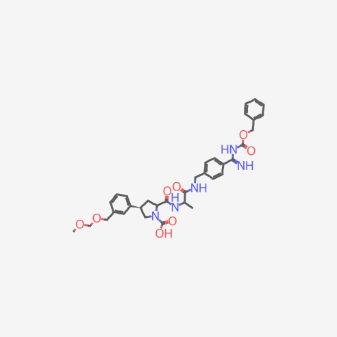 COCOCc1cccc([C@H]2CC(C(=O)NC(C)C(=O)NCc3ccc(C(=N)NC(=O)OCc4ccccc4)cc3)N(C(=O)O)C2)c1